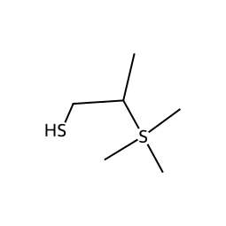 CC(CS)S(C)(C)C